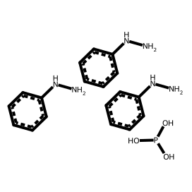 NNc1ccccc1.NNc1ccccc1.NNc1ccccc1.OP(O)O